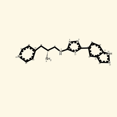 N[C@@H](CNc1nnc(-c2ccc3[nH]ncc3c2)s1)Cc1ccncc1